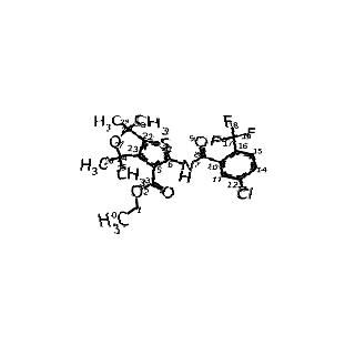 CCOC(=O)c1c(NC(=O)c2cc(Cl)ccc2C(F)(F)F)sc2c1C(C)(C)OC2(C)C